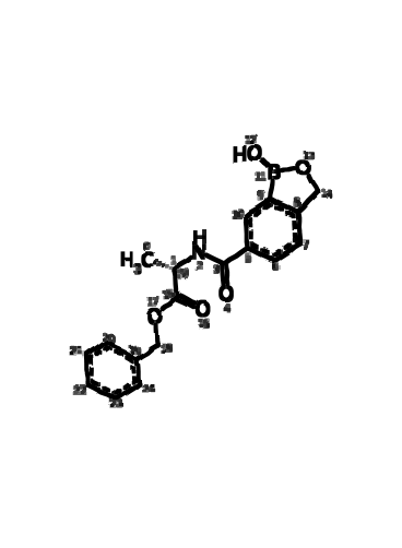 C[C@H](NC(=O)c1ccc2c(c1)B(O)OC2)C(=O)OCc1ccccc1